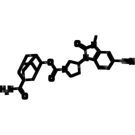 Cn1c(=O)n(C2CCN(C(=O)OC3C4CC5CC3CC(C(N)=O)(C5)C4)C2)c2ccc(C#N)cc21